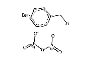 ClCc1ccccc1.O=[PH]([O-])O[PH](=O)[O-].[Ba+2]